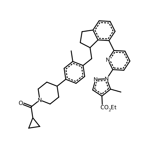 CCOC(=O)c1cnn(-c2cccc(-c3cccc4c3C(Cc3ccc(C5CCN(C(=O)C6CC6)CC5)cc3C)CC4)n2)c1C